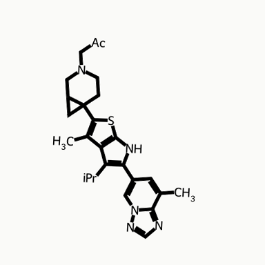 CC(=O)CN1CCC2(c3sc4[nH]c(-c5cc(C)c6ncnn6c5)c(C(C)C)c4c3C)CC2C1